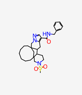 CS(=O)(=O)N1CCC(C2Cc3c(C(=O)NCc4ccccc4)cnn3CC23CCCCCCCCC3)CC1